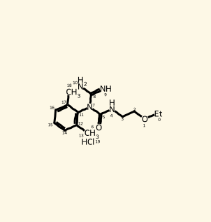 CCOCCNC(=O)N(C(=N)N)c1c(C)cccc1C.Cl